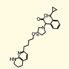 O=C(O)C(c1ccccc1CC1CC1)N1CC[C@@H](OCCCCc2ccc3c(n2)NCCC3)C1